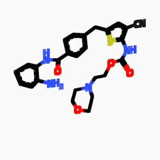 N#Cc1cc(Cc2ccc(C(=O)Nc3ccccc3N)cc2)sc1NC(=O)OCCN1CCOCC1